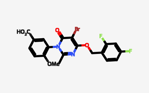 COc1ccc(C(=O)O)cc1-n1c(C)nc(OCc2ccc(F)cc2F)c(Br)c1=O